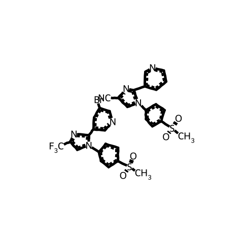 CS(=O)(=O)c1ccc(-n2cc(C#N)nc2-c2cccnc2)cc1.CS(=O)(=O)c1ccc(-n2cc(C(F)(F)F)nc2-c2cncc(Br)c2)cc1